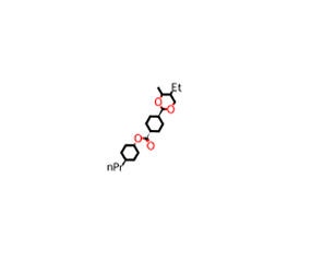 CCC[C@H]1CC[C@H](OC(=O)[C@H]2CC[C@H](C3OCC(CC)C(C)O3)CC2)CC1